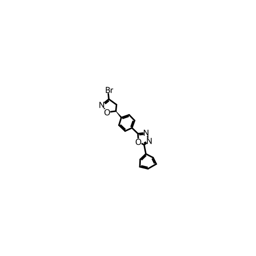 BrC1=NO[C@H](c2ccc(-c3nnc(-c4ccccc4)o3)cc2)C1